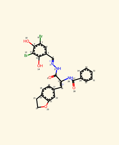 O=C(N/N=C/c1cc(Br)c(O)c(Br)c1O)/C(=C\c1ccc2c(c1)OCC2)NC(=O)c1ccccc1